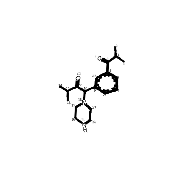 CC(C)C(=O)c1cccc(C(C(=O)C(C)C)N2CCNCC2)c1